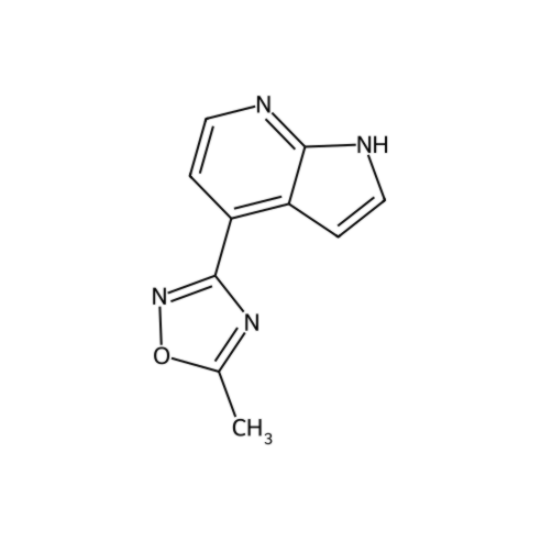 Cc1nc(-c2ccnc3[nH]ccc23)no1